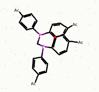 CC(=O)c1ccc(P(CP(c2ccc(C(C)=O)cc2)c2ccc(C(C)=O)cc2)c2ccc(C(C)=O)cc2)cc1